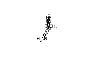 C[C@@H]1CN(c2ncc(C(F)(F)F)cn2)C[C@H](C)N1C(=O)NC1CCN(Cc2cccc(C(N)=O)c2)CC1